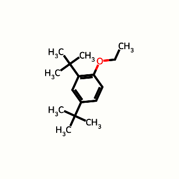 CCOc1ccc(C(C)(C)C)cc1C(C)(C)C